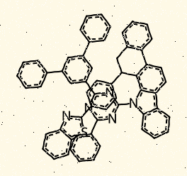 c1ccc(-c2cc(-c3ccccc3)cc(-c3nc(-c4ccccc4)nc(-n4c5ccccc5c5ccc6c(c54)C(c4ccc(-c5nc7ccccc7s5)cc4)Cc4ccccc4-6)n3)c2)cc1